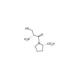 N[C@H](CS)C(=O)N1CCC[C@H]1C(=O)O